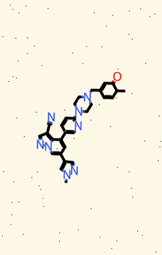 CC1C=CC(CN2CCN(c3ccc(-c4cc(-c5cnn(C)c5)cn5ncc(C#N)c45)cn3)CC2)=CC1=O